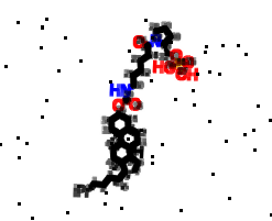 CC(C)CCC[C@@H](C)[C@H]1CCC2[C@@H]3CC=C4C[C@@H](OC(=O)NCCCCCC(=O)N5CCC[C@H]5COP(=O)(O)O)CC[C@]4(C)C3CC[C@@]21C